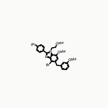 COCCn1c(-c2ccc(C(C)C)cc2)nc2c(Br)c(Cc3cccc(OC)c3)cc(OC)c21